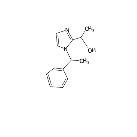 CC(O)c1nccn1C(C)c1ccccc1